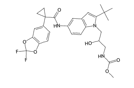 COC(=O)NCC(O)Cn1c(C(C)(C)C)cc2cc(NC(=O)C3(c4ccc5c(c4)OC(F)(F)O5)CC3)ccc21